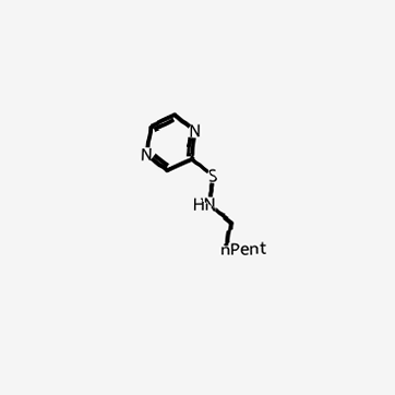 CCCCCCNSc1cnccn1